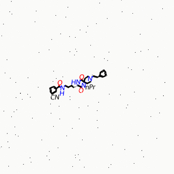 CCCN1C(=O)[C@H](CCCCNC(=O)c2cccc(C#N)c2)NC(=O)C12CCN(CCc1ccccc1)CC2